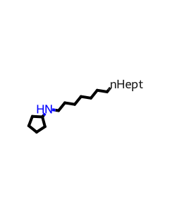 CCCCCCCCCCCCCCNC1CCCC1